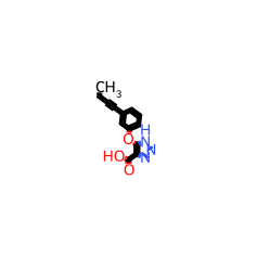 CCC#Cc1cccc(Oc2[nH]nnc2C(=O)O)c1